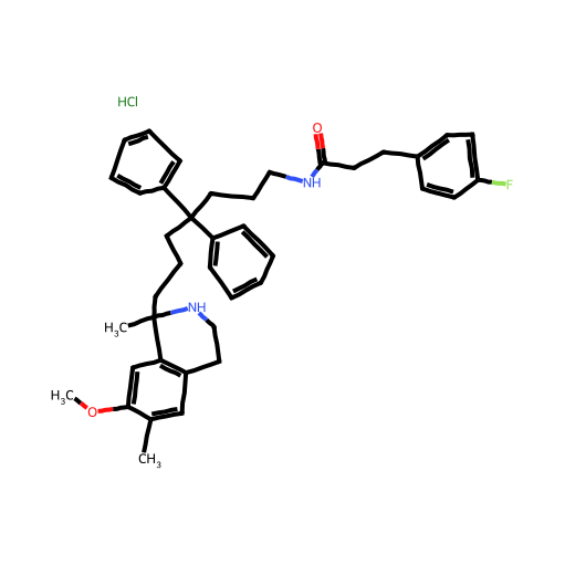 COc1cc2c(cc1C)CCNC2(C)CCCC(CCCNC(=O)CCc1ccc(F)cc1)(c1ccccc1)c1ccccc1.Cl